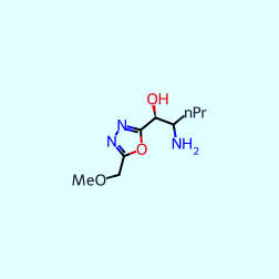 CCCC(N)[C@H](O)c1nnc(COC)o1